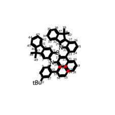 CC(C)(C)c1ccc(N2c3cc4c(cc3B3c5c2cc2ccccc2c5-c2cccc5c6c(n3c25)-c2ccccc2C6(C)C)-c2ccccc2C4(C)C)c(-c2ccccc2)c1